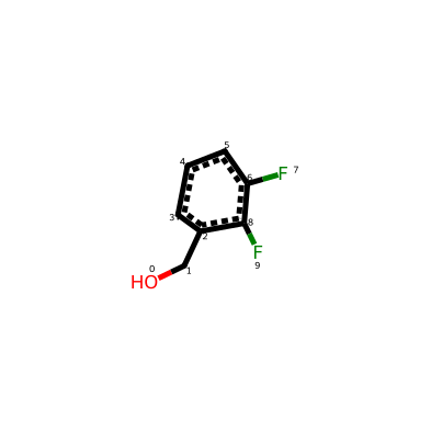 OCc1[c]ccc(F)c1F